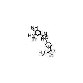 C=C(CC)C(=O)N1CCC(c2nc(-c3ccc(C=N)c(NC(C)C)c3)no2)CC1